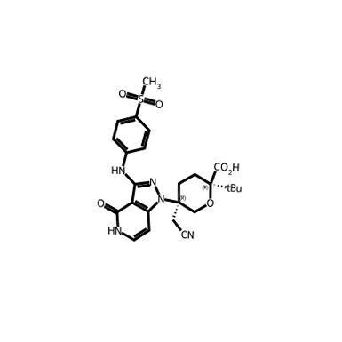 CC(C)(C)[C@@]1(C(=O)O)CC[C@](CC#N)(n2nc(Nc3ccc(S(C)(=O)=O)cc3)c3c(=O)[nH]ccc32)CO1